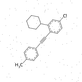 Cc1ccc(C#Cc2ccc(Cl)cc2C2CCCCC2)cc1